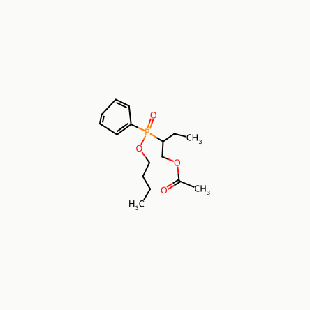 CCCCOP(=O)(c1ccccc1)C(CC)COC(C)=O